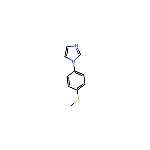 CSc1ccc(-n2ccnc2)cc1